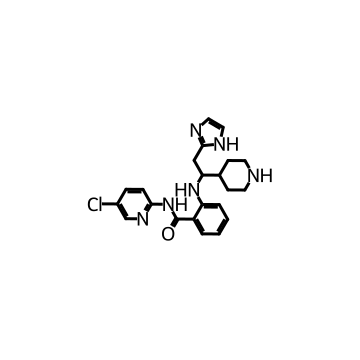 O=C(Nc1ccc(Cl)cn1)c1ccccc1NC(Cc1ncc[nH]1)C1CCNCC1